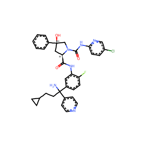 NC(CCC1CC1)(c1ccncc1)c1ccc(F)c(NC(=O)[C@H]2C[C@](O)(c3ccccc3)CN2C(=O)Nc2ccc(Cl)cn2)c1